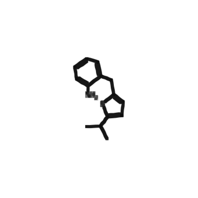 CC(C)c1ccc(Cc2ccccc2N)s1